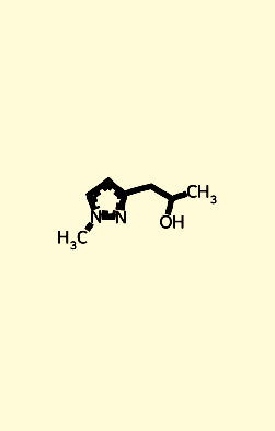 CC(O)Cc1ccn(C)n1